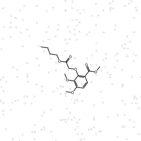 CCCCOC(=O)COc1c(C(=O)OC)ccc(OC)c1OC